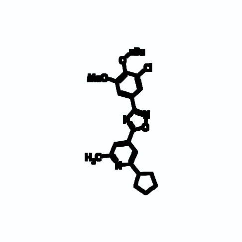 CCCCOc1c(Cl)cc(-c2noc(-c3cc(C)nc(C4CCCC4)c3)n2)cc1OC